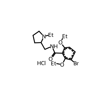 CCOc1ccc(Br)c(OCC)c1C(=O)NCC1CCCN1CC.Cl